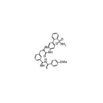 CCC(C)N(Cc1cccc(C(=N)NC(=S)c2ccc(OC)cc2)c1)C(=O)Nc1ccc(-c2ccccc2S(N)(=O)=O)cc1